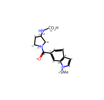 CSn1ccc2ccc(C(=O)N3CCC(NC(=O)O)C3)cc21